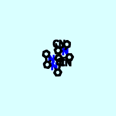 N#Cc1cc(-n2c3ccccc3c3cccc(-n4c5ccccc5c5ccccc54)c32)ccc1-c1ccccc1-n1c2ccccc2c2c(C#N)cccc21